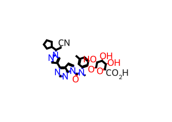 Cc1ccc(O[C@@H]2O[C@H](C(=O)O)[C@@H](O)[C@H](O)[C@H]2O)c(N(C)C(=O)n2ccc3c(-c4cnn(C(CC#N)C5CCCC5)c4)ncnc32)c1